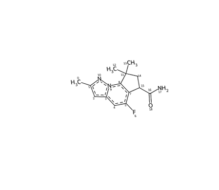 Cc1cc2cc(F)c3c(n2n1)C(C)(C)CC3C(N)=O